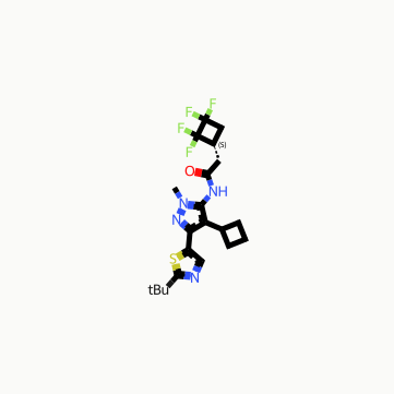 Cn1nc(-c2cnc(C(C)(C)C)s2)c(C2CCC2)c1NC(=O)C[C@H]1CC(F)(F)C1(F)F